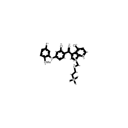 COc1ccc(F)cc1Oc1ccc(C(=O)c2cn(COCC[Si](C)(C)C)c3nccc(Cl)c23)c(Cl)c1